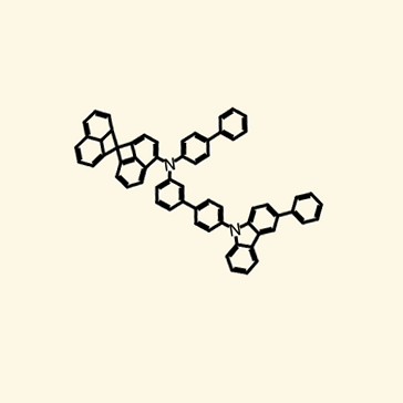 C1=CC2=CC=CC3C2C(=C1)C31c2cccc3c(N(c4ccc(-c5ccccc5)cc4)c4cccc(-c5ccc(-n6c7ccccc7c7cc(-c8ccccc8)ccc76)cc5)c4)ccc1c23